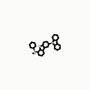 C[SH](c1ccccc1)c1cccc2c1oc1ccc(-n3c4ccccc4c4ccccc43)cc12